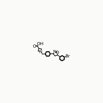 O=C(O)C1CN(Cc2ccc(C3=NOC(c4cccc(Br)c4)C3)cc2)C1